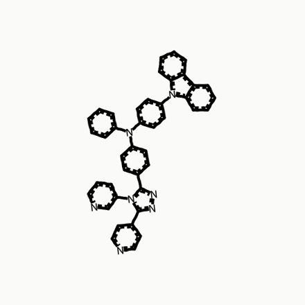 c1ccc(N(c2ccc(-c3nnc(-c4ccncc4)n3-c3cccnc3)cc2)c2ccc(-n3c4ccccc4c4ccccc43)cc2)cc1